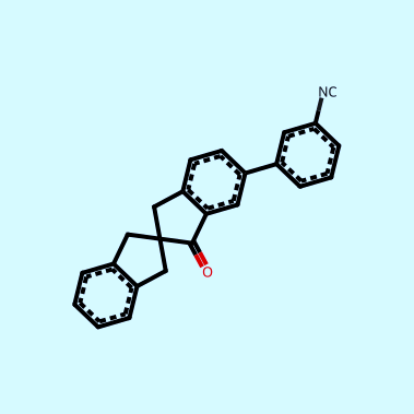 [C-]#[N+]c1cccc(-c2ccc3c(c2)C(=O)C2(Cc4ccccc4C2)C3)c1